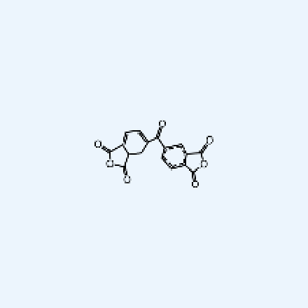 O=C1OC(=O)C2CC(C(=O)c3ccc4c(c3)C(=O)OC4=O)=CC=C12